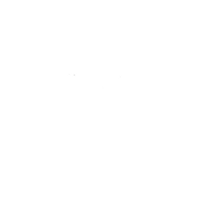 CC(O[C]=O)c1ccccc1F